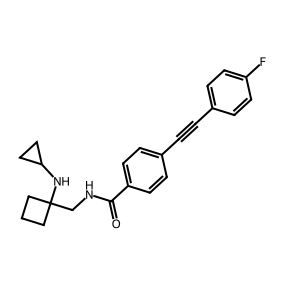 O=C(NCC1(NC2CC2)CCC1)c1ccc(C#Cc2ccc(F)cc2)cc1